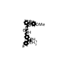 COc1ccc(S(=O)(=O)N2CCCCC2COCC(=O)NCC2CCC(C(c3ccc(F)cc3)N(C)C)CC2)cc1